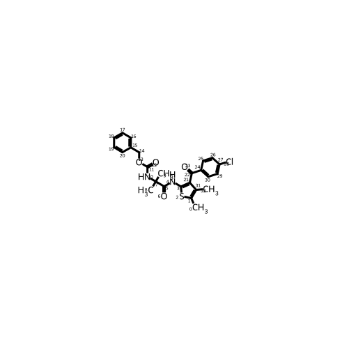 Cc1sc(NC(=O)C(C)(C)NC(=O)OCc2ccccc2)c(C(=O)c2ccc(Cl)cc2)c1C